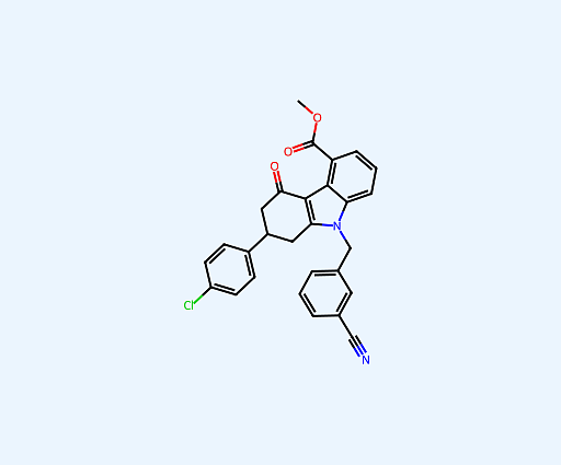 COC(=O)c1cccc2c1c1c(n2Cc2cccc(C#N)c2)CC(c2ccc(Cl)cc2)CC1=O